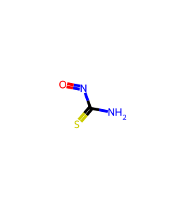 NC(=S)N=O